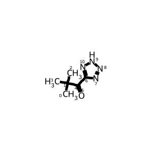 CC(C)(C)C(=O)c1nn[nH]n1